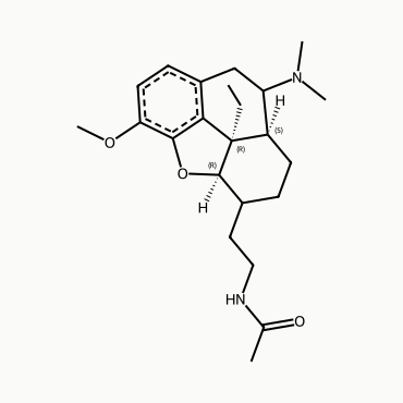 CC[C@@]12c3c4ccc(OC)c3O[C@@H]1C(CCNC(C)=O)CC[C@@H]2C(N(C)C)C4